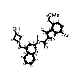 COCc1ccc(C(C)=O)c2sc(C(=O)Nc3cc(CN4CC(O)C4)c4ccccc4n3)c(C)c12